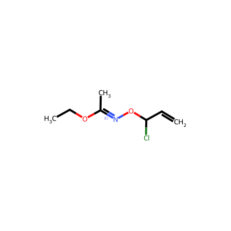 C=CC(Cl)O/N=C(\C)OCC